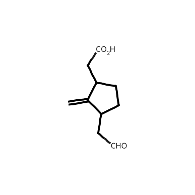 C=C1C(CC=O)CCC1CC(=O)O